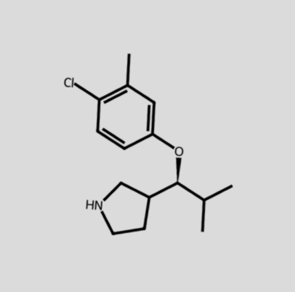 Cc1cc(O[C@@H](C(C)C)C2CCNC2)ccc1Cl